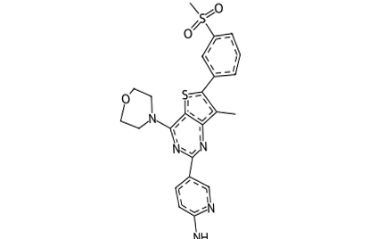 Cc1c(-c2cccc(S(C)(=O)=O)c2)sc2c(N3CCOCC3)nc(-c3ccc(N)nc3)nc12